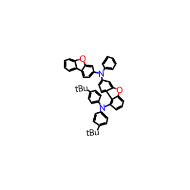 CC(C)(C)c1ccc(N(c2ccc(C(C)(C)C)cc2)c2cccc3oc4cc(N(c5ccccc5)c5ccc6c(c5)oc5ccccc56)ccc4c23)cc1